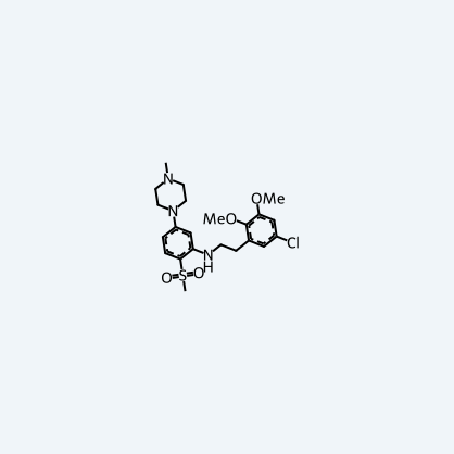 COc1cc(Cl)cc(CCNc2cc(N3CCN(C)CC3)ccc2S(C)(=O)=O)c1OC